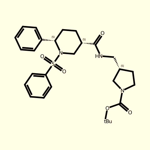 CC(C)(C)OC(=O)N1CC[C@@H](CNC(=O)[C@H]2CC[C@@H](c3ccccc3)N(S(=O)(=O)c3ccccc3)C2)C1